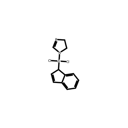 [Cl][Zr]([Cl])([CH]1C=Cc2ccccc21)[N]1C=BCC1